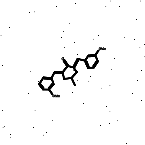 COc1cccc(/C=C2\CC(C)C/C(=C\c3cccc(OC)c3)C2=O)c1